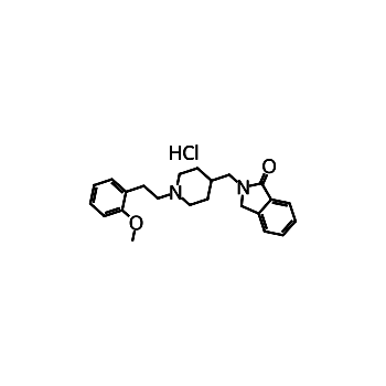 COc1ccccc1CCN1CCC(CN2Cc3ccccc3C2=O)CC1.Cl